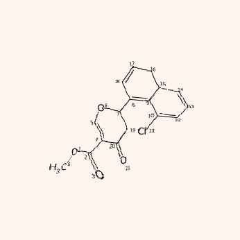 COC(=O)C1=COC(C2=C3C(Cl)=CC=CC3CC=C2)CC1=O